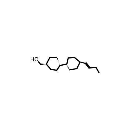 CCC=C[C@H]1CC[C@H]([C@H]2CC[C@H](CO)CC2)CC1